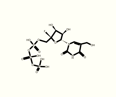 O=c1[nH]c(=O)n([C@@H]2O[C@](F)(COP(=O)(O)OP(=O)(O)OP(=O)(O)O)[C@@H](O)[C@H]2O)cc1CO